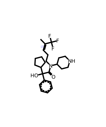 C/C(=C/CCN(C(=O)C(O)(c1ccccc1)C1CCCC1)C1CCNCC1)C(F)(F)F